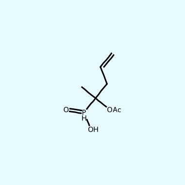 C=CCC(C)(OC(C)=O)[PH](=O)O